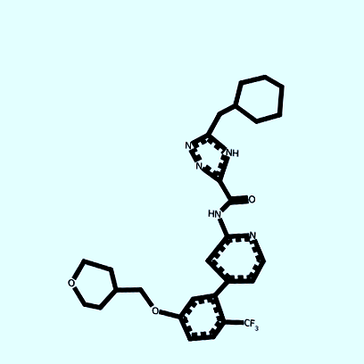 O=C(Nc1cc(-c2cc(OCC3CCOCC3)ccc2C(F)(F)F)ccn1)c1nnc(CC2CCCCC2)[nH]1